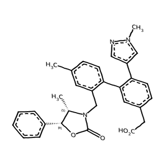 Cc1ccc(-c2cc(CC(=O)O)ccc2-c2cnn(C)c2)c(CN2C(=O)O[C@H](c3ccccc3)[C@@H]2C)c1